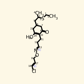 CCSC(C)CC1CC(=O)C(CC/C=N/OC/C=C/Cl)=C(O)C1